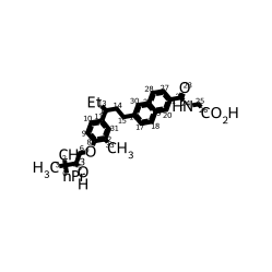 CCCC(C)(C)C(O)COc1ccc(C(CC)CCc2ccc3cc(C(=O)NCC(=O)O)ccc3c2)cc1C